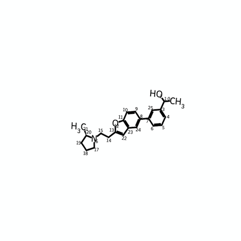 CC(O)c1cccc(-c2ccc3oc(CCN4CCC[C@H]4C)cc3c2)c1